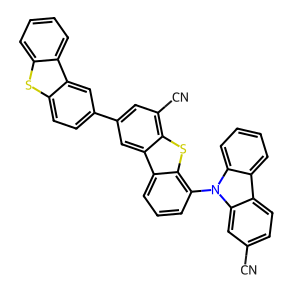 N#Cc1ccc2c3ccccc3n(-c3cccc4c3sc3c(C#N)cc(-c5ccc6sc7ccccc7c6c5)cc34)c2c1